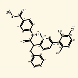 CC(C)(C)OC(=O)c1ccc(NC(=O)C(Cc2ccccc2)c2ccc(-c3c(F)ccc(Cl)c3F)c[n+]2[O-])cc1